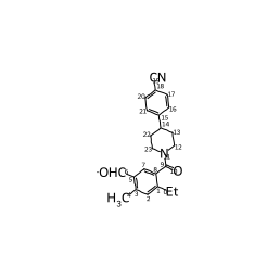 CCc1cc(C)c([C]=O)cc1C(=O)N1CCC(c2ccc(C#N)cc2)CC1